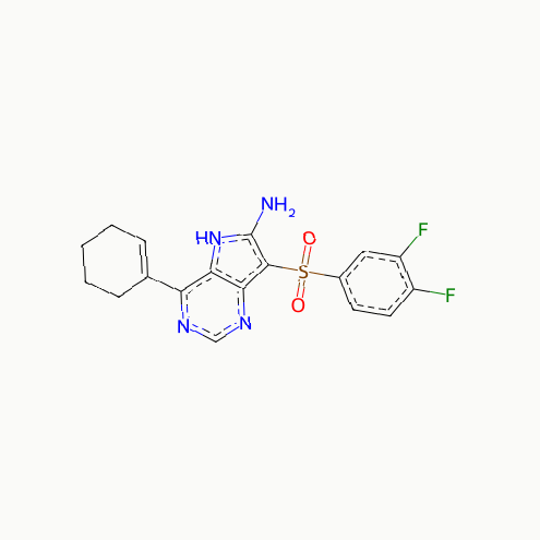 Nc1[nH]c2c(C3=CCCCC3)ncnc2c1S(=O)(=O)c1ccc(F)c(F)c1